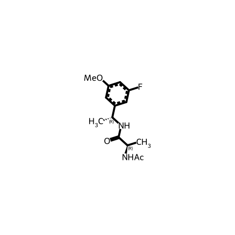 COc1cc(F)cc([C@@H](C)NC(=O)[C@@H](C)NC(C)=O)c1